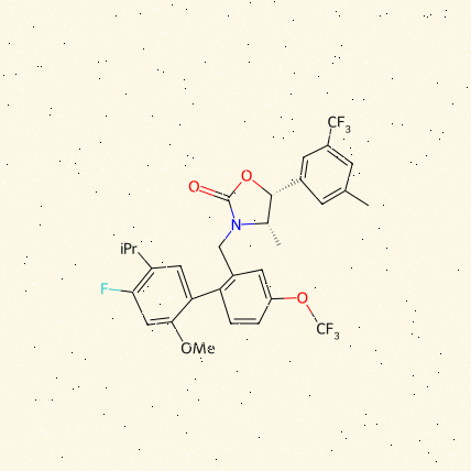 COc1cc(F)c(C(C)C)cc1-c1ccc(OC(F)(F)F)cc1CN1C(=O)O[C@H](c2cc(C)cc(C(F)(F)F)c2)[C@@H]1C